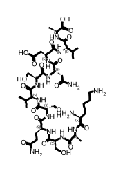 CC(C)[C@H](NC(=O)[C@H](CC(=O)O)NC(=O)[C@H](CC(N)=O)NC(=O)[C@H](CO)NC(=O)[C@@H](NC(=O)[C@H](CO)NC(=O)[C@H](CCC(N)=O)NC(=O)[C@H](CO)NC(=O)[C@H](C)NC(=O)[C@@H](N)CCCCN)C(C)C)C(=O)N[C@@H](C)C(=O)O